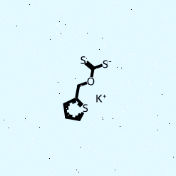 S=C([S-])OCc1cccs1.[K+]